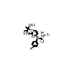 CCCNC(=O)N(c1ccc(F)cc1)c1ccnc(NC(C)C(C)(C)O)n1